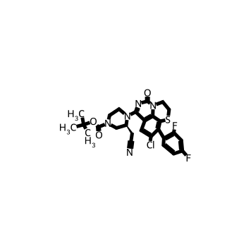 CC(C)(C)OC(=O)N1CCN(c2nc(=O)n3c4c(c(-c5ccc(F)cc5F)c(Cl)cc24)SCC3)[C@@H](CC#N)C1